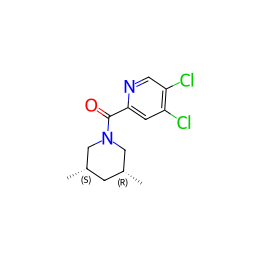 C[C@@H]1C[C@H](C)CN(C(=O)c2cc(Cl)c(Cl)cn2)C1